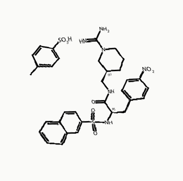 Cc1ccc(S(=O)(=O)O)cc1.N=C(N)N1CCC[C@@H](CNC(=O)[C@@H](Cc2ccc([N+](=O)[O-])cc2)NS(=O)(=O)c2ccc3ccccc3c2)C1